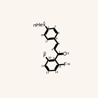 CCCCCCc1ccc(C=CC(=O)c2c(F)cccc2F)cc1